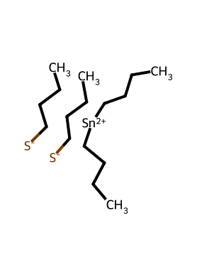 CCCC[S-].CCCC[S-].CCC[CH2][Sn+2][CH2]CCC